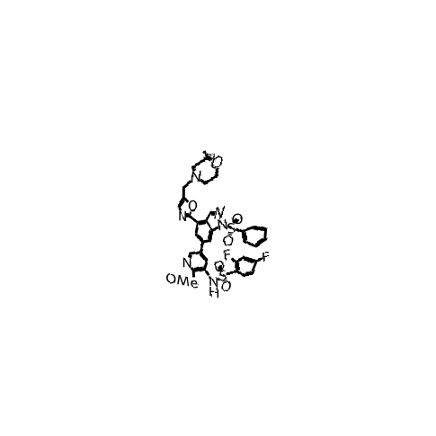 COc1ncc(-c2cc(-c3ncc(CN4CCO[C@H](C)C4)o3)c3cnn(S(=O)(=O)c4ccccc4)c3c2)cc1NS(=O)(=O)c1ccc(F)cc1F